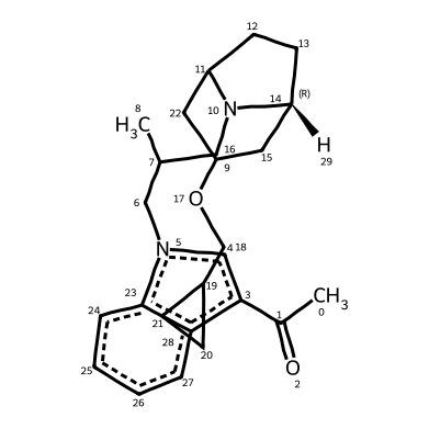 CC(=O)c1cn(CC(C)CN2C3CC[C@@H]2CC(OCC2CC2)C3)c2ccccc12